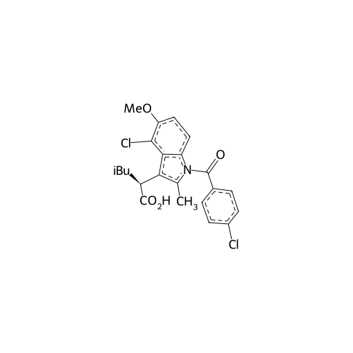 CCC(C)[C@H](C(=O)O)c1c(C)n(C(=O)c2ccc(Cl)cc2)c2ccc(OC)c(Cl)c12